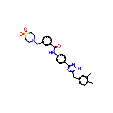 Cc1ccc(Cc2nc(-c3ccc(NC(=O)c4cccc(CN5CCS(=O)(=O)CC5)c4)cc3)n[nH]2)cc1C